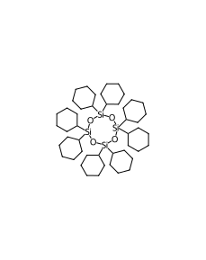 C1CCC([Si]2(C3CCCCC3)O[Si](C3CCCCC3)(C3CCCCC3)O[Si](C3CCCCC3)(C3CCCCC3)O[Si](C3CCCCC3)(C3CCCCC3)O2)CC1